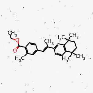 CCOC(=O)c1ccc(C=C(C)c2ccc3c(c2)C(C)(C)CCC3(C)C)cc1C